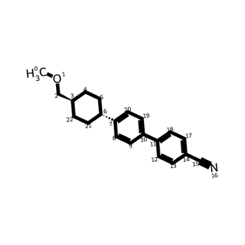 COC[C@H]1CC[C@H](c2ccc(-c3ccc(C#N)cc3)cc2)CC1